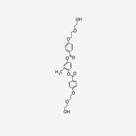 Cc1cc(OC(=O)c2ccc(OCCOCCO)cc2)ccc1OC(=O)c1ccc(OCCOCCO)cc1